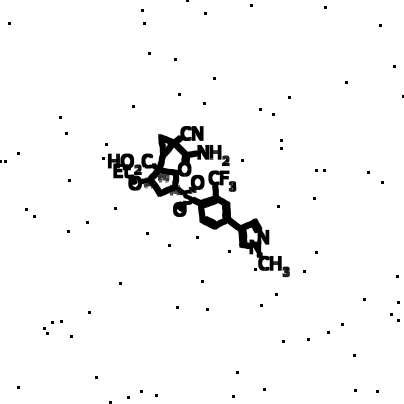 CCO[C@@H]1C[C@H](S(=O)(=O)c2ccc(-c3cnn(C)c3)cc2C(F)(F)F)C[C@@]1(C(=O)O)C1CC1(C#N)C(N)=O